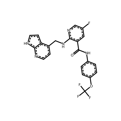 O=C(Nc1ccc(OC(F)(F)F)cc1)c1cc(F)cnc1NCc1ccnc2[nH]ccc12